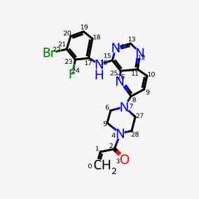 C=CC(=O)N1CCN(c2ccc3ncnc(Nc4cccc(Br)c4F)c3n2)CC1